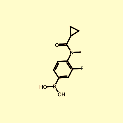 CN(C(=O)C1CC1)c1ccc(B(O)O)cc1F